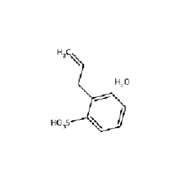 C=CCc1ccccc1S(=O)(=O)O.O